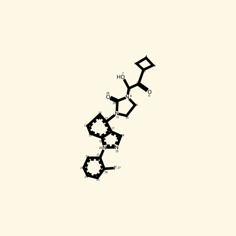 O=C(C1CCC1)C(O)N1CCN(c2cccc3c2cnn3-c2ccccc2F)C1=O